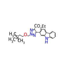 CCOC(=O)c1nn(COCC[Si](C)(C)C)nc1-c1ccc2c(c1)[nH]c1ccccc12